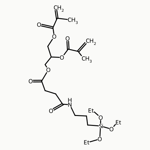 C=C(C)C(=O)OCC(COC(=O)CCC(=O)NCCC[Si](OCC)(OCC)OCC)OC(=O)C(=C)C